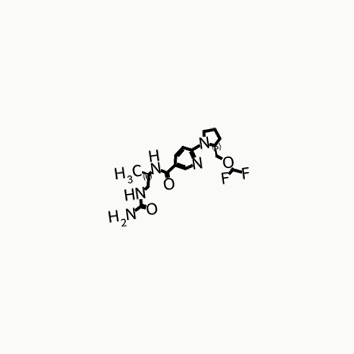 C[C@H](CNC(N)=O)NC(=O)c1ccc(N2CCC[C@H]2COC(F)F)nc1